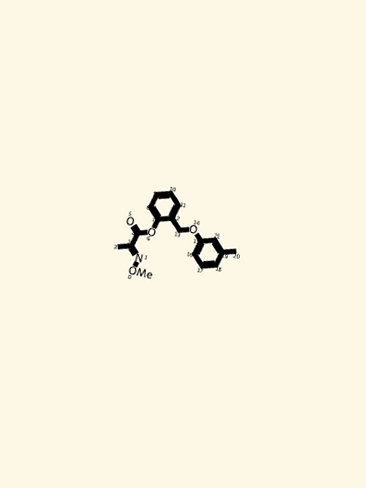 CON=C(C)C(=O)Oc1ccccc1COc1cccc(C)c1